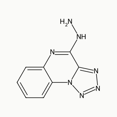 NNc1nc2ccccc2n2nnnc12